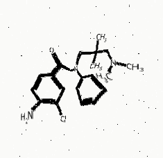 CN(C)CC(C)(C)CN(C(=O)c1ccc(N)c(Cl)c1)c1ccccc1